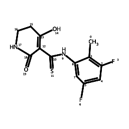 Cc1c(F)cc(F)cc1NC(=S)C1=C(O)CCNC1=O